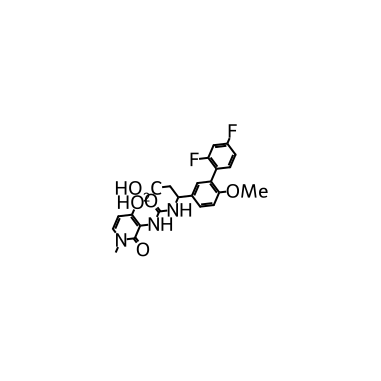 COc1ccc(C(CC(=O)O)NC(=O)Nc2c(O)ccn(C)c2=O)cc1-c1ccc(F)cc1F